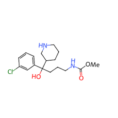 COC(=O)NCCCC(O)(c1cccc(Cl)c1)C1CCCNC1